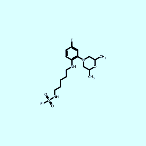 CC1CN(c2cc(F)ccc2NCCCCCNS(=O)(=O)C(C)C)CC(C)O1